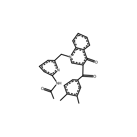 CC(=O)Nc1cccc(Cn2cc(C(=O)c3ccc(C)c(C)c3)c(=O)c3ccccc32)n1